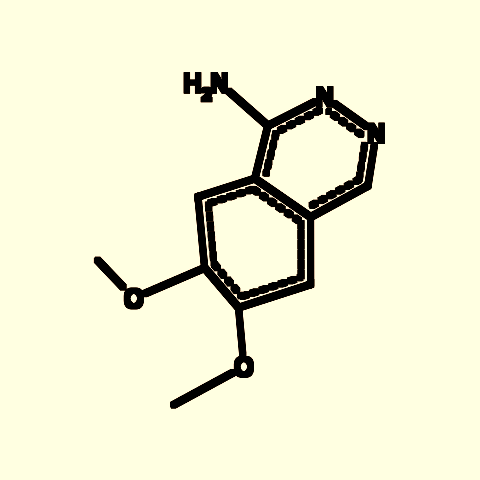 COc1cc2cnnc(N)c2cc1OC